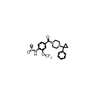 O=C(c1ccc(N[SH](=O)=O)c(OC(F)(F)F)c1)N1CCN(C2(c3ccccc3)CC2)CC1